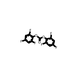 O=C(Oc1c(F)cc(F)cc1F)Oc1c(F)cc(F)cc1F